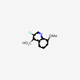 COc1cccc2c(C(=O)O)c(F)cnc12